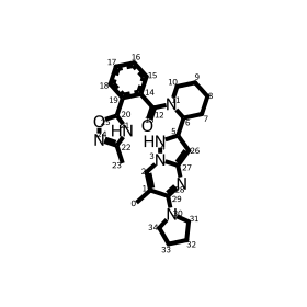 CC1=CN2NC(C3CCCCN3C(=O)c3ccccc3C3NC(C)=NO3)C=C2N=C1N1CCCC1